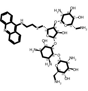 NC[C@@H]1O[C@H](O[C@H]2[C@@H](O)[C@H](O[C@@H]3[C@@H](O)[C@H](N)C[C@H](N)[C@H]3O[C@H]3O[C@H](CN)[C@@H](O)[C@H](O)[C@H]3N)O[C@@H]2CSCCNc2c3ccccc3nc3ccccc23)[C@H](N)[C@@H](O)[C@@H]1O